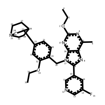 CCOc1nc(C)c2nc(-c3cncc(F)c3)n(Cc3ccc(C4CN5CCC4CC5)cc3OCC)c2n1